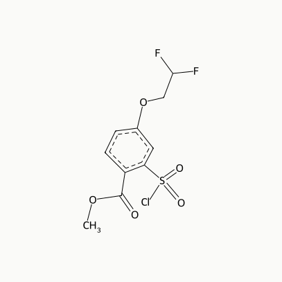 COC(=O)c1ccc(OCC(F)F)cc1S(=O)(=O)Cl